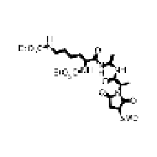 CCOC(=O)NCCCCC(NC(=O)OCC)C(=O)NC(C)NC(=O)C(C)N1C(=O)CC(SC)C1=O